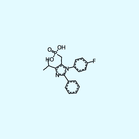 CC(C)c1nc(-c2ccccc2)n(-c2ccc(F)cc2)c1CP(=O)(O)O